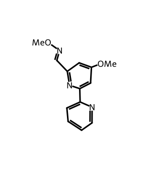 CON=Cc1cc(OC)cc(-c2ccccn2)n1